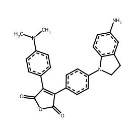 CN(C)c1ccc(C2=C(c3ccc(N4CCc5cc(N)ccc54)cc3)C(=O)OC2=O)cc1